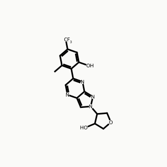 Cc1cc(C(F)(F)F)cc(O)c1-c1cnc2cn(C3COCC3O)nc2n1